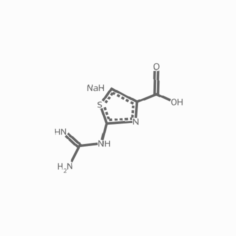 N=C(N)Nc1nc(C(=O)O)cs1.[NaH]